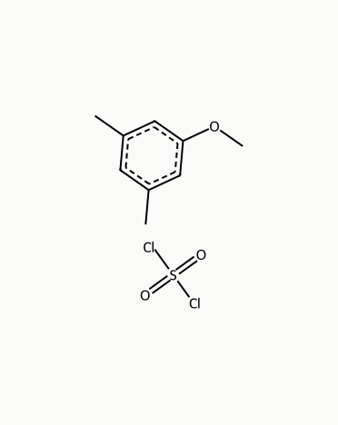 COc1cc(C)cc(C)c1.O=S(=O)(Cl)Cl